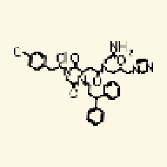 NC(=O)CN(CCCn1ccnc1)C(=O)CC1C(=O)N(C(Cl)Cc2ccc(Cl)cc2)CC(=O)N1CCC(c1ccccc1)c1ccccc1